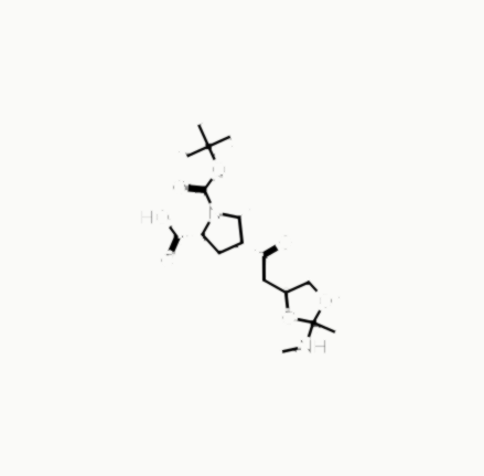 CNC1(C)OCC(CC(=O)[C@@H]2C[C@H](C(=O)O)N(C(=O)OC(C)(C)C)C2)O1